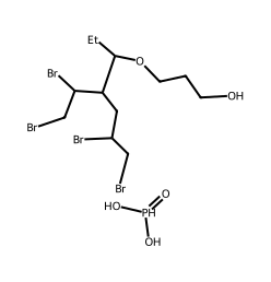 CCC(OCCCO)C(CC(Br)CBr)C(Br)CBr.O=[PH](O)O